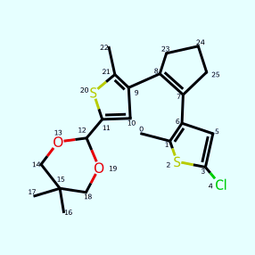 Cc1sc(Cl)cc1C1=C(c2cc(C3OCC(C)(C)CO3)sc2C)CCC1